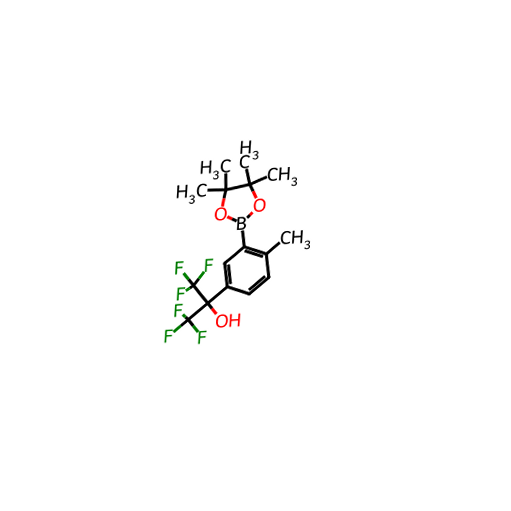 Cc1ccc(C(O)(C(F)(F)F)C(F)(F)F)cc1B1OC(C)(C)C(C)(C)O1